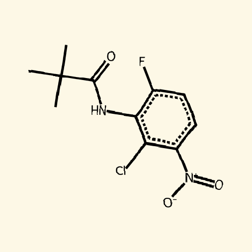 CC(C)(C)C(=O)Nc1c(F)ccc([N+](=O)[O-])c1Cl